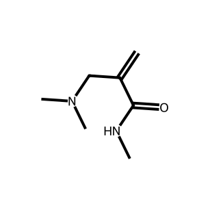 C=C(CN(C)C)C(=O)NC